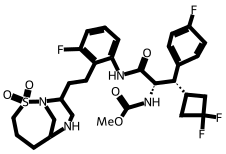 COC(=O)N[C@H](C(=O)Nc1cccc(F)c1CCC1CNC2CCCS(=O)(=O)N1C2)[C@H](c1ccc(F)cc1)C1CC(F)(F)C1